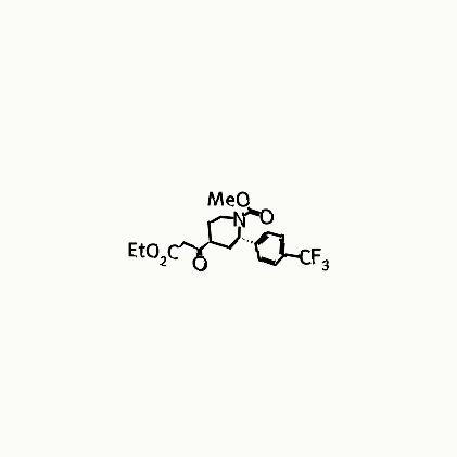 CCOC(=O)CC(=O)[C@H]1CCN(C(=O)OC)[C@H](c2ccc(C(F)(F)F)cc2)C1